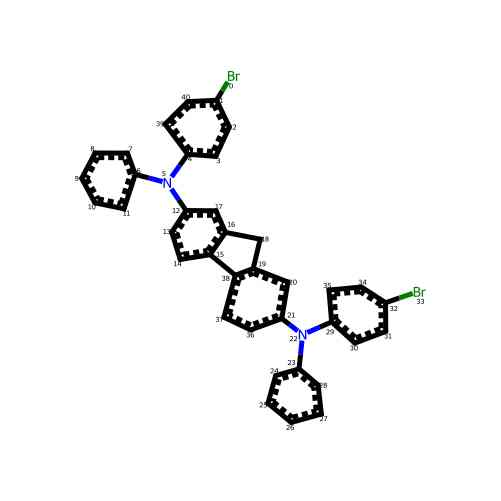 Brc1ccc(N(c2ccccc2)c2ccc3c(c2)Cc2cc(N(c4ccccc4)c4ccc(Br)cc4)ccc2-3)cc1